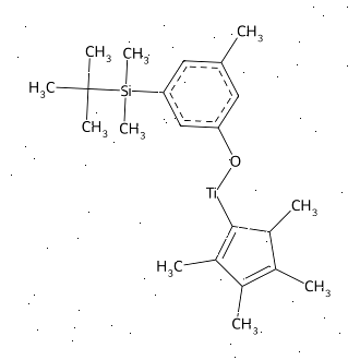 CC1=C(C)C(C)[C]([Ti][O]c2cc(C)cc([Si](C)(C)C(C)(C)C)c2)=C1C